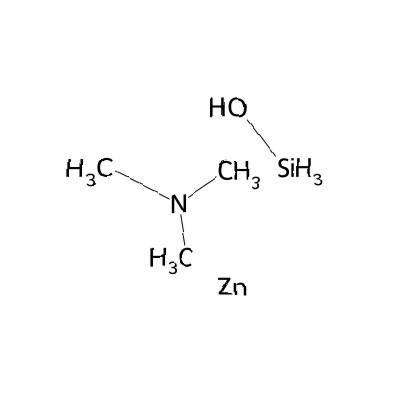 CN(C)C.O[SiH3].[Zn]